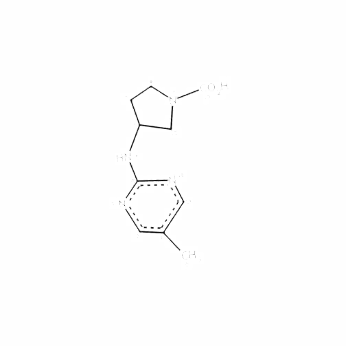 Cc1cnc(NC2CCN(C(=O)O)C2)nc1